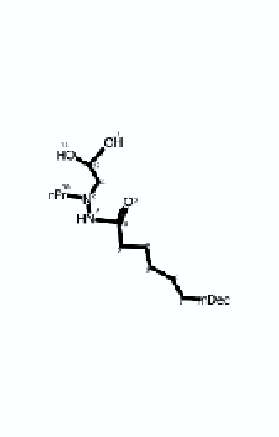 CCCCCCCCCCCCCCCC(=O)NN(CCC)CC(O)O